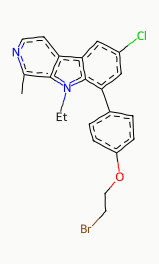 CCn1c2c(-c3ccc(OCCBr)cc3)cc(Cl)cc2c2ccnc(C)c21